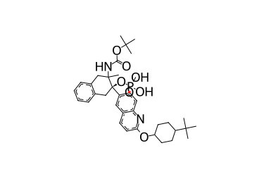 CC(C)(C)OC(=O)NC1(C)Cc2ccccc2C[C@@]1(OP(=O)(O)O)c1ccc2nc(OC3CCC(C(C)(C)C)CC3)ccc2c1